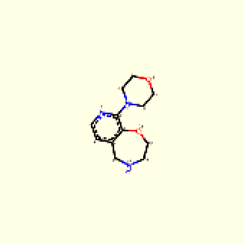 c1cc2c(c(N3CCOCC3)n1)OCCNC2